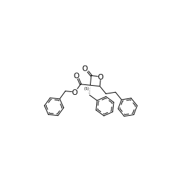 O=C(OCc1ccccc1)[C@@]1(Cc2ccccc2)C(=O)OC1CCc1ccccc1